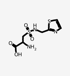 NC(CS(=O)(=O)NCc1nccs1)C(=O)O